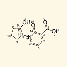 O=C(O)c1cccn([C@H]2CCC[C@H]2O)c1=O